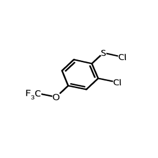 FC(F)(F)Oc1ccc(SCl)c(Cl)c1